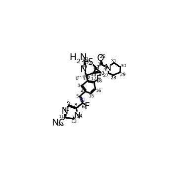 C[C@]1(c2cc(/C=C(\F)c3cnc(C#N)cn3)ccc2F)N=C(N)S[C@@]2(C(=O)N3CCCCC3)C=C21